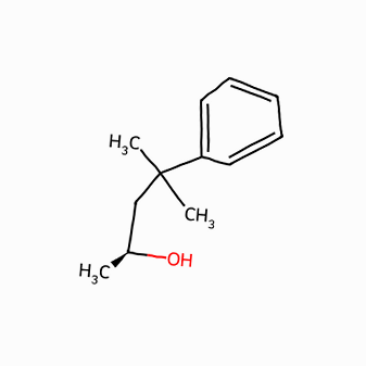 C[C@H](O)CC(C)(C)c1ccccc1